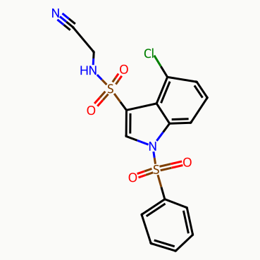 N#CCNS(=O)(=O)c1cn(S(=O)(=O)c2ccccc2)c2cccc(Cl)c12